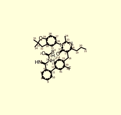 BC(=O)NC(=N)c1ccccc1-c1ccc(Cc2c(CCC)nc(C)n(-c3ccc4c(c3)CC(C)(C)O4)c2=O)c(F)c1